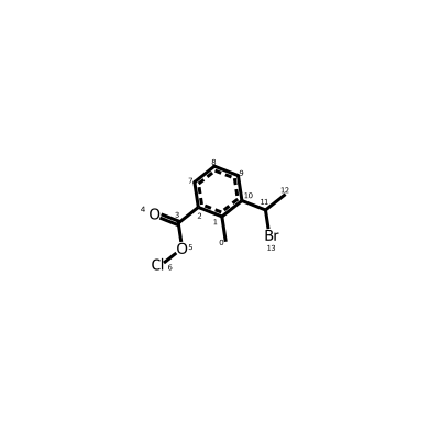 Cc1c(C(=O)OCl)cccc1C(C)Br